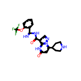 N=C(NC(=O)c1cnn2c(C3CCNCC3)cc(=O)[nH]c12)c1ccccc1OC(F)(F)F